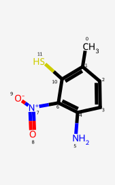 Cc1ccc(N)c([N+](=O)[O-])c1S